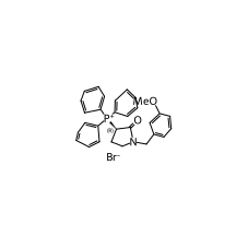 COc1cccc(CN2CC[C@@H]([P+](c3ccccc3)(c3ccccc3)c3ccccc3)C2=O)c1.[Br-]